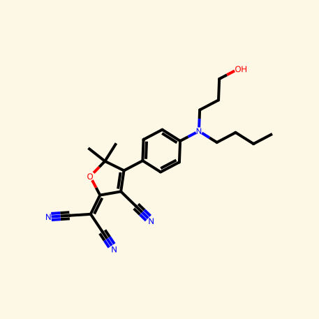 CCCCN(CCCO)c1ccc(C2=C(C#N)C(=C(C#N)C#N)OC2(C)C)cc1